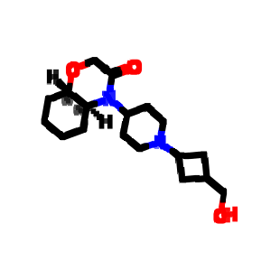 O=C1CO[C@H]2CCCC[C@@H]2N1C1CCN(C2CC(CO)C2)CC1